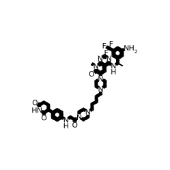 C[C@@H](Nc1ncnc2c1cc(N1CCN(CCCCCN3CCN(C(=O)CNc4ccc(C5CCC(=O)NC5=O)cc4)CC3)CC1)c(=O)n2C)c1cc(N)cc(C(F)(F)F)c1